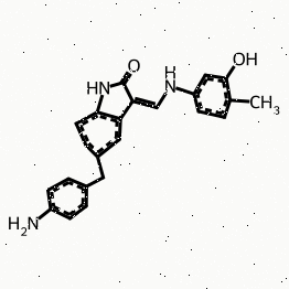 Cc1ccc(NC=C2C(=O)Nc3ccc(Cc4ccc(N)cc4)cc32)cc1O